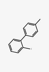 [CH]c1ccccc1-c1ccc(C)cc1